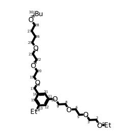 CCOCCOCCOCCOc1cc(CC)cc(COCCOCCOCCCCO[C@@H](C)CC)c1